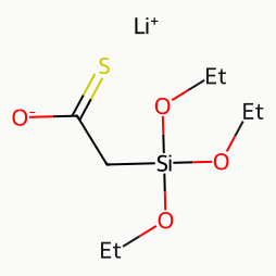 CCO[Si](CC([O-])=S)(OCC)OCC.[Li+]